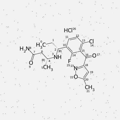 CC[C@@H](N[C@H](C)CC(N)=O)c1ccc(Cl)c(C(=O)c2cc(C)on2)c1F.Cl